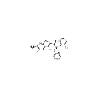 Cc1cc2cc(C(=O)N(Cc3ncccc3Cl)[C@@H](C)c3ncccn3)ccc2nc1N